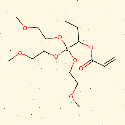 C=CC(=O)OC(CC)[Si](OCCOC)(OCCOC)OCCOC